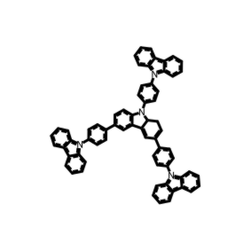 C1=C(c2ccc(-n3c4ccccc4c4ccccc43)cc2)C=C2c3cc(-c4ccc(-n5c6ccccc6c6ccccc65)cc4)ccc3N(c3ccc(-n4c5ccccc5c5ccccc54)cc3)C2C1